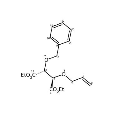 C=CCO[C@@H](C(=O)OCC)[C@@H](OCc1ccccc1)C(=O)OCC